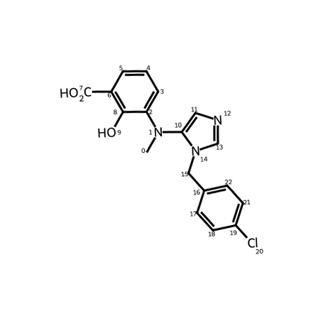 CN(c1cccc(C(=O)O)c1O)c1cncn1Cc1ccc(Cl)cc1